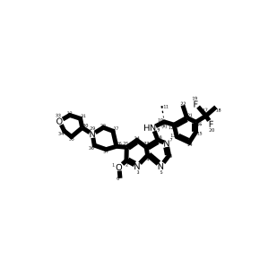 COc1nc2ncnc(N[C@H](C)c3cccc(C(C)(F)F)c3C)c2cc1C1CCN(C2CCOCC2)CC1